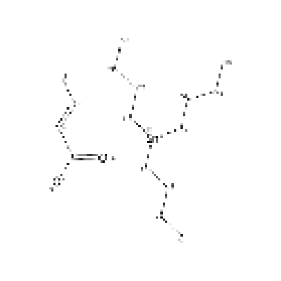 C/C=C/C(=O)[O-].CCC[CH2][Sn+]([CH2]CCC)[CH2]CCC